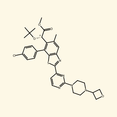 COC(=O)[C@@H](OC(C)(C)C)c1c(C)cc2nc(-c3ccnc(N4CCN(C5COC5)CC4)n3)sc2c1-c1ccc(Cl)cc1